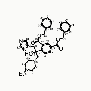 CCN1CCN(CC(O)(Cn2cncn2)c2ccc(C(=O)OCc3ccccc3)cc2C(=O)OCc2ccccc2)CC1